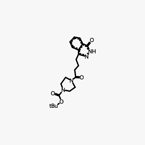 CC(C)(C)OC(=O)N1CCN(C(=O)CCCc2n[nH]c(=O)c3ccccc23)CC1